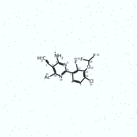 C=Cc1c(N)nc(-c2ccc(Cl)c(OC(F)F)c2F)nc1C(C)=O